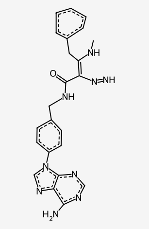 CN/C(Cc1ccccc1)=C(\N=N)C(=O)NCc1ccc(-n2cnc3c(N)ncnc32)cc1